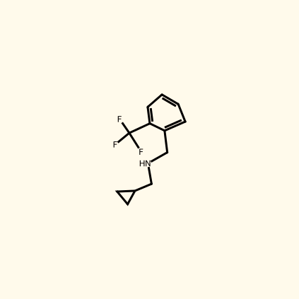 FC(F)(F)c1ccccc1CNCC1CC1